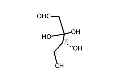 O=CCC(O)(O)[C@H](O)CO